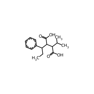 CCC(c1ccccc1)C(C(=O)O)C(C(=O)O)C(C)C